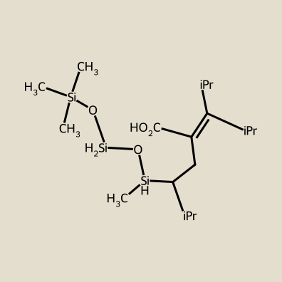 CC(C)C(=C(CC(C(C)C)[SiH](C)O[SiH2]O[Si](C)(C)C)C(=O)O)C(C)C